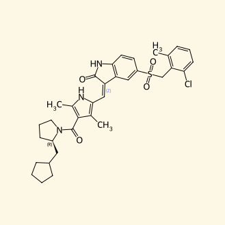 Cc1cccc(Cl)c1CS(=O)(=O)c1ccc2c(c1)/C(=C/c1[nH]c(C)c(C(=O)N3CCC[C@@H]3CC3CCCC3)c1C)C(=O)N2